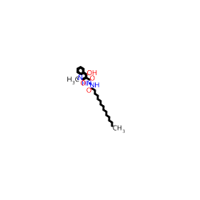 CCCCCCCCCCCCCCCC(=O)NNC(=O)c1c(O)c2ccccc2n(C)c1=O